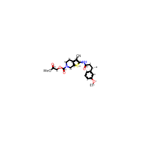 CCOc1cccc([C@@H](C)CC(=O)Nc2sc3c(c2C#N)CCN(C(=O)OCC(=O)OC)C3)c1